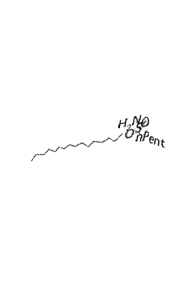 CCCCCCCCCCCCCCCC.CCCCCS(N)(=O)=O